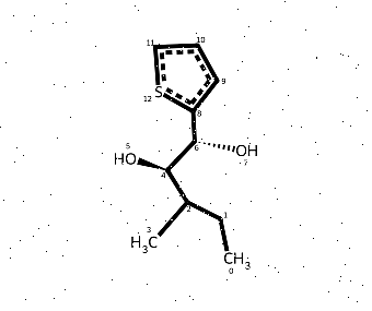 CCC(C)[C@@H](O)[C@@H](O)c1cccs1